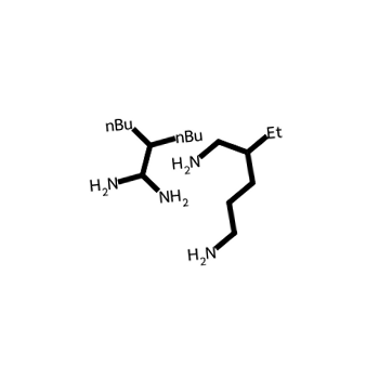 CCC(CN)CCCN.CCCCC(CCCC)C(N)N